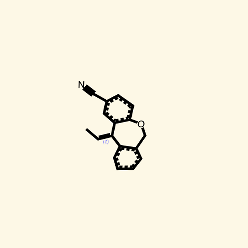 C/C=C1/c2ccccc2COc2ccc(C#N)cc21